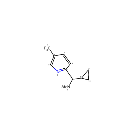 CNC(c1ccc(C(F)(F)F)cn1)C1CC1